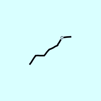 CCCC[CH]OC